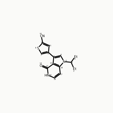 CCC(CC)n1cc(-c2csc(C#N)c2)c2c(=O)[nH]ccc21